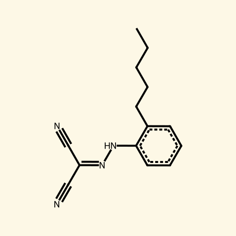 CCCCCc1ccccc1NN=C(C#N)C#N